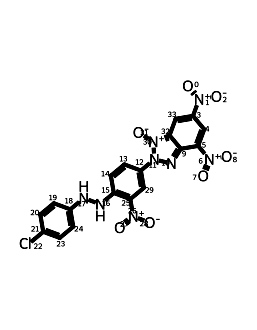 O=[N+]([O-])c1cc([N+](=O)[O-])c2nn(-c3ccc(NNc4ccc(Cl)cc4)c([N+](=O)[O-])c3)[n+]([O-])c2c1